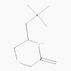 C=C1COCC(CC(C)(C)C)N1